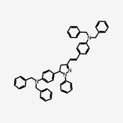 C(=Cc1ccc(N(Cc2ccccc2)Cc2ccccc2)cc1)C1=NN(c2ccccc2)C(c2ccc(N(Cc3ccccc3)Cc3ccccc3)cc2)C1